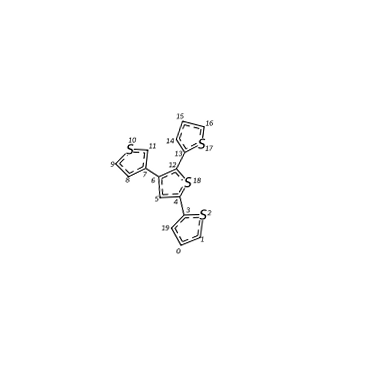 c1csc(-c2cc(-c3ccsc3)c(-c3cccs3)s2)c1